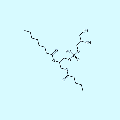 CCCCCCCC(=O)OC(COC(=O)CCCC)COP(=O)(O)OCC(O)CO